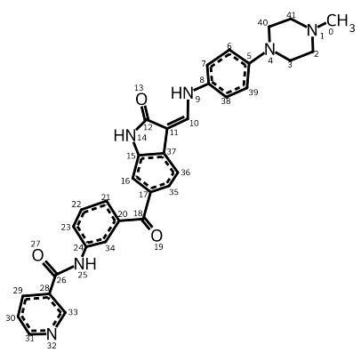 CN1CCN(c2ccc(NC=C3C(=O)Nc4cc(C(=O)c5cccc(NC(=O)c6cccnc6)c5)ccc43)cc2)CC1